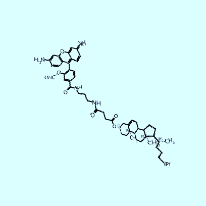 CC(C)CCC[C@@H](C)C1CCC2C3CC=C4C[C@@H](OC(=O)CCC(=O)NCCCNC(=O)c5ccc(-c6c7ccc(=N)cc-7oc7cc(N)ccc67)c(OC=O)c5)CC[C@]4(C)C3CC[C@@]21C